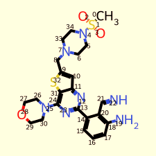 CS(=O)(=O)N1CCN(Cc2cc3nc(-c4cccc(N)c4C=N)nc(N4CCOCC4)c3s2)CC1